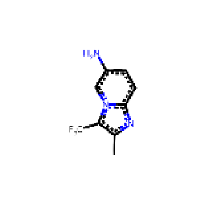 Cc1nc2ccc(N)cn2c1C(F)(F)F